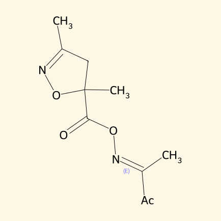 CC(=O)/C(C)=N/OC(=O)C1(C)CC(C)=NO1